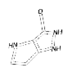 O=c1[nH][nH]c2cc[nH]c12